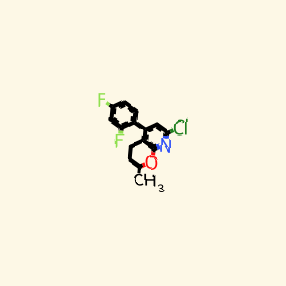 CC1CCc2c(-c3ccc(F)cc3F)cc(Cl)nc2O1